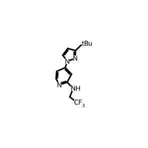 CC(C)(C)c1ccn(-c2ccnc(NCC(F)(F)F)c2)n1